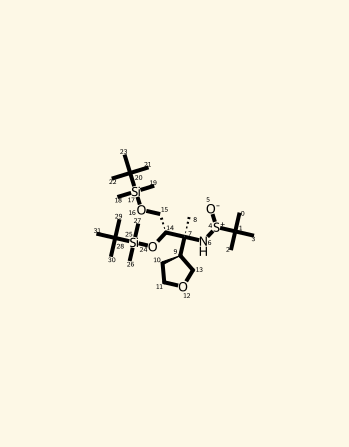 CC(C)(C)[S+]([O-])N[C@@](C)([C@@H]1CCOC1)[C@@H](CO[Si](C)(C)C(C)(C)C)O[Si](C)(C)C(C)(C)C